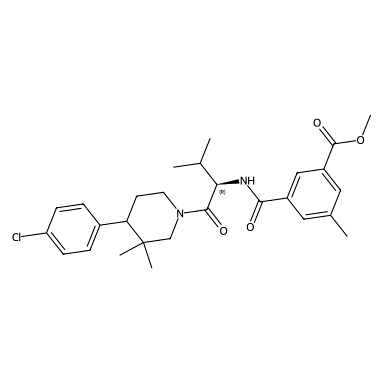 COC(=O)c1cc(C)cc(C(=O)N[C@@H](C(=O)N2CCC(c3ccc(Cl)cc3)C(C)(C)C2)C(C)C)c1